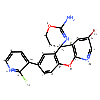 NC1=N[C@]2(CCO1)c1cc(-c3cccnc3F)ccc1Oc1ncc(Br)cc12